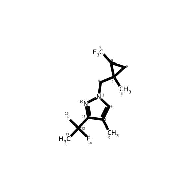 Cc1cn(CC2(C)CC2C(F)(F)F)nc1C(C)(F)F